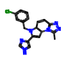 Cc1nnc2n1C1C=C(c3c[nH]cn3)N(Cc3cccc(Cl)c3)C1C=C2